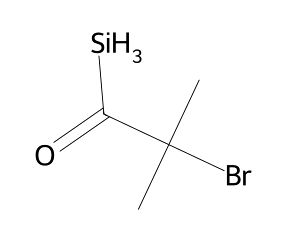 CC(C)(Br)C(=O)[SiH3]